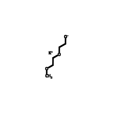 COCCOCC[O-].[K+]